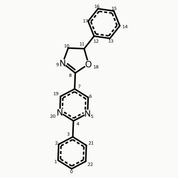 c1ccc(-c2ncc(C3=NCC(c4ccccc4)O3)cn2)cc1